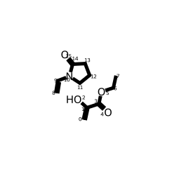 C=C(O)C(=O)OCC.C=CN1CCCC1=O